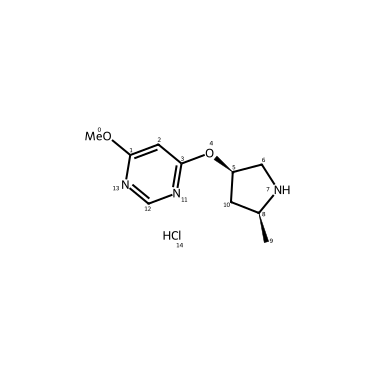 COc1cc(O[C@H]2CN[C@@H](C)C2)ncn1.Cl